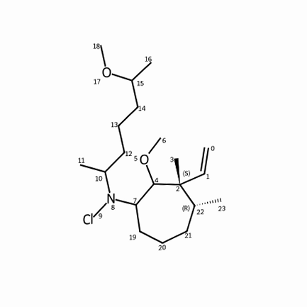 C=C[C@@]1(C)C(OC)C(N(Cl)C(C)CCCC(C)OC)CCC[C@H]1C